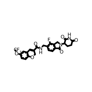 O=C1CCC(N2Cc3c(ccc(CNC(=O)C4=Cc5cc(OC(F)(F)F)ccc5OC4)c3F)C2=O)C(=O)N1